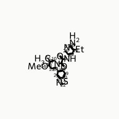 CCc1cc(NC(=O)C(=O)N2C[C@H](C)[C@H](OC)C[C@H]2c2ccc3scnc3c2)cnc1N